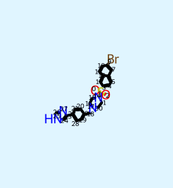 O=S(=O)(c1ccc2cc(Br)ccc2c1)N1CCN(Cc2ccc(-c3c[nH]cn3)cc2)CC1